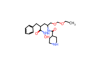 CCOCOCC(CC(Cc1ccccc1)C(=O)NO)NC(=O)C1CCNCC1